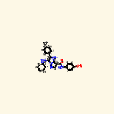 O=C(Nc1ccc(O)cc1)c1cnn2c(NC3CCCCC3)c(-c3ccc(C(F)(F)F)cc3)[nH]c12